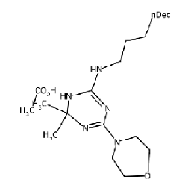 CC(=O)O.CCCCCCCCCCCCCNC1=NC(N2CCOCC2)=NC(C)(C)N1